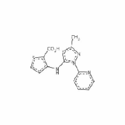 Cc1cc(Nc2ccsc2C(=O)O)n(-c2ccccn2)n1